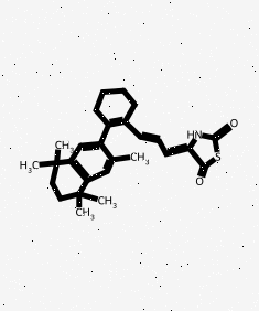 Cc1cc2c(cc1C1=C(C=CC=C3NC(=O)SC3=O)CCCC1)C(C)(C)CCC2(C)C